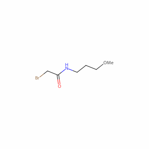 COCCCNC(=O)CBr